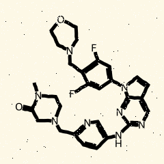 CN1CCN(Cc2ccc(Nc3ncc4ccn(-c5cc(F)c(CN6CCOCC6)c(F)c5)c4n3)cn2)CC1=O